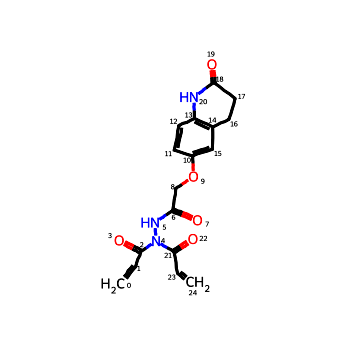 C=CC(=O)N(NC(=O)COc1ccc2c(c1)CCC(=O)N2)C(=O)C=C